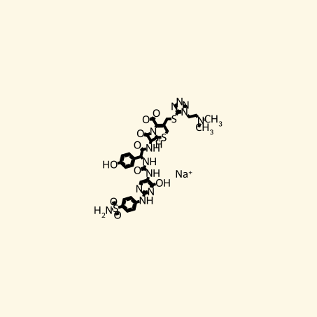 CN(C)CCn1nnnc1SCC1=C(C(=O)[O-])N2C(=O)C(NC(=O)C(NC(=O)Nc3cnc(Nc4ccc(S(N)(=O)=O)cc4)nc3O)c3ccc(O)cc3)[C@@H]2SC1.[Na+]